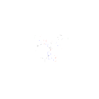 CCCOc1cc2c(Cl)cccc2c(O[C@@H]2C[C@H]3C(=O)N[C@]4(C(=O)NS(=O)(=O)C5(C)CC5)C[C@H]4/C=C\CC[C@H](C)C[C@@H](C)[C@H](N(C(=O)O)C(C)(C)C(F)(F)F)C(=O)N3C2)n1